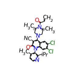 C=CC(=O)N1[C@H](C)CN(c2c(C#N)c(=O)n(-c3c(C)ccnc3C(C)C)c3cc(Cl)c(Cl)cc23)C[C@@H]1C